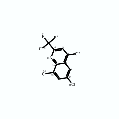 FC(F)(Cl)c1cc(Cl)c2cc(Cl)cc(Cl)c2n1